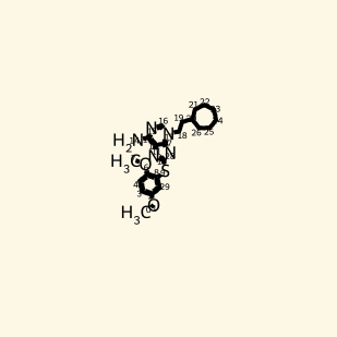 COc1ccc(OC)c(Sc2nc3c(N)ncn(CCC4CCCCCC4)c-3n2)c1